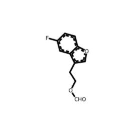 O=COCCc1coc2ccc(F)cc12